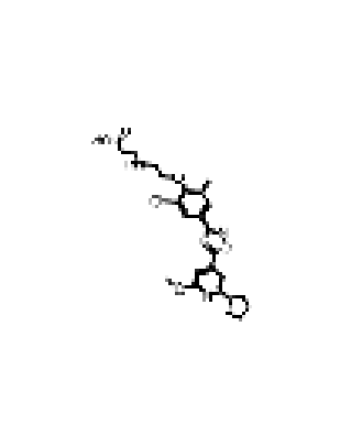 COc1cc(-c2nc(-c3cc(C)c(OCCNCCC(=O)O)c(Cl)c3)no2)cc(C2CCCC2)n1